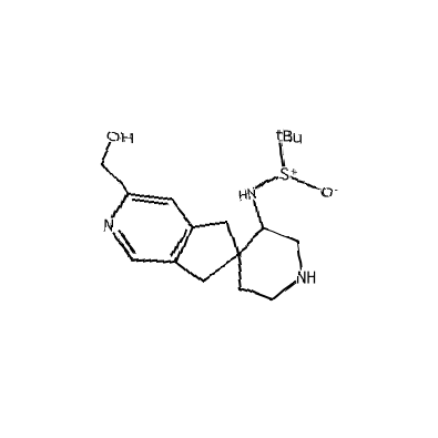 CC(C)(C)[S+]([O-])NC1CNCCC12Cc1cnc(CO)cc1C2